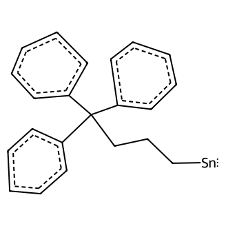 [Sn][CH2]CCC(c1ccccc1)(c1ccccc1)c1ccccc1